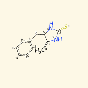 C=C1NC(=S)NC1Cc1ccccc1